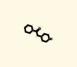 O=C(CN1CCNCC1)N1CCCCC1